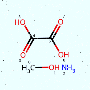 CO.N.O=C(O)C(=O)O